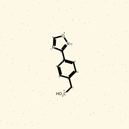 O=C(O)Cc1ccc(-c2ncon2)cc1